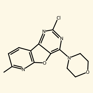 Cc1ccc2c(n1)oc1c(N3CCOCC3)nc(Cl)nc12